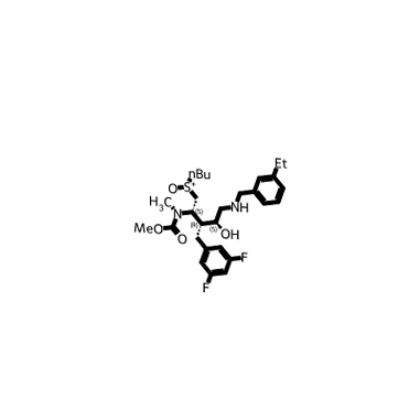 CCCC[S+]([O-])C[C@H]([C@@H](Cc1cc(F)cc(F)c1)[C@H](O)CNCc1cccc(CC)c1)N(C)C(=O)OC